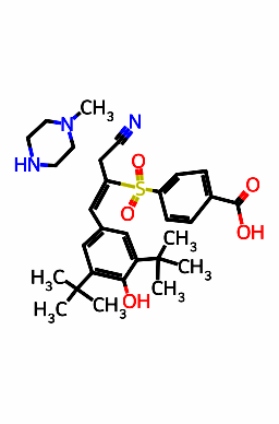 CC(C)(C)c1cc(C=C(CC#N)S(=O)(=O)c2ccc(C(=O)O)cc2)cc(C(C)(C)C)c1O.CN1CCNCC1